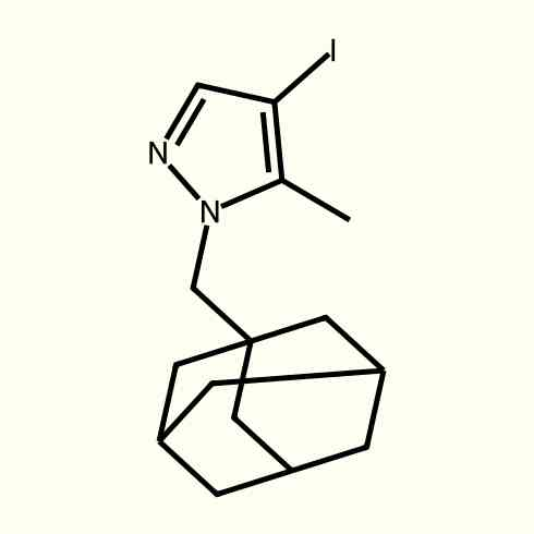 Cc1c(I)cnn1CC12CC3CC(CC(C3)C1)C2